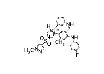 Cc1cc(Nc2ccc(F)cc2)c(C=N)cc1[C@@]12CN(S(=O)(=O)c3cnn(C)c3)C[C@@H]1[C@H]2c1ccccc1